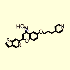 O/N=c1\cc(-c2cc3sccc3cn2)oc2ccc(OCCCc3ccncc3)cc12